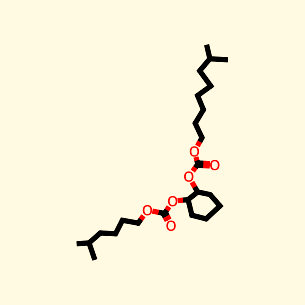 CC(C)CCCCCCOC(=O)OC1CCCCC1OC(=O)OCCCCC(C)C